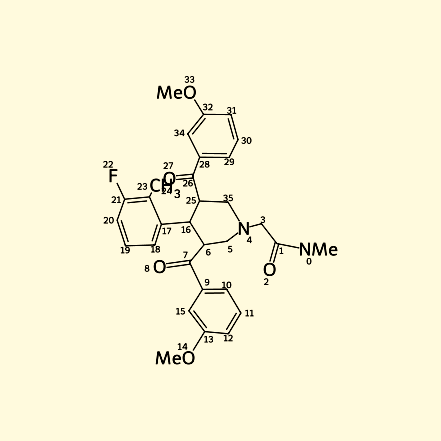 CNC(=O)CN1CC(C(=O)c2cccc(OC)c2)C(c2cccc(F)c2C)C(C(=O)c2cccc(OC)c2)C1